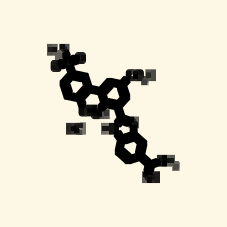 Cl.N=C(N)c1ccc2[nH]c(-c3cc(C(=O)O)cc(-c4cc(S(N)(=O)=O)ccc4O)c3O)nc2c1